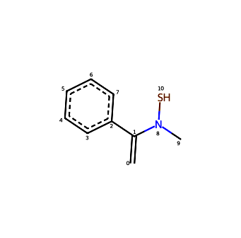 C=C(c1ccccc1)N(C)S